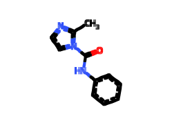 Cc1nccn1C(=O)Nc1ccccc1